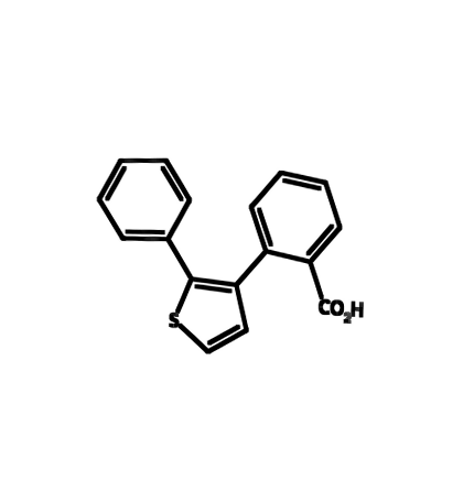 O=C(O)c1ccccc1-c1ccsc1-c1ccccc1